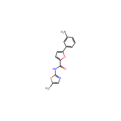 Cc1cnc(NC(=O)c2ccc(-c3cccc([N+](=O)[O-])c3)o2)s1